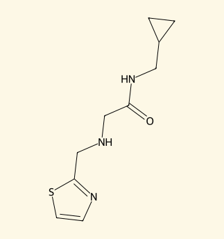 O=C(CNCc1nccs1)NCC1CC1